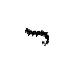 C=CCCc1ccc(C(F)(F)OC2COC(c3ccc(-c4ccc(-c5ccc(OC(F)(F)F)c(F)c5)c(F)c4)c(F)c3)OC2)cc1